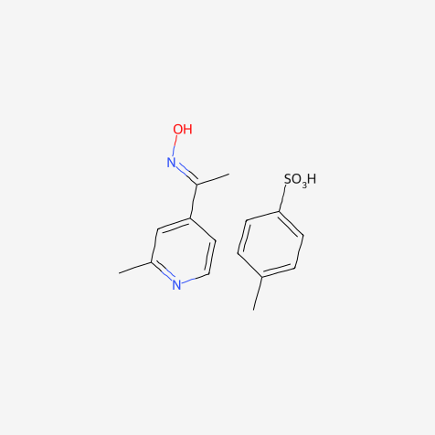 CC(=NO)c1ccnc(C)c1.Cc1ccc(S(=O)(=O)O)cc1